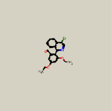 CCOc1cc(C=O)c(-c2ncc(Br)c3ccccc23)c(OCC)c1